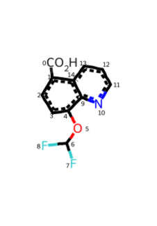 O=C(O)c1ccc(OC(F)F)c2ncccc12